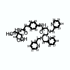 O=C(CN(CCN(Cc1ccccn1)Cc1ccccn1)Cc1ccccn1)Nc1ccc(CC(=O)NC(CO)(CO)CO)cc1